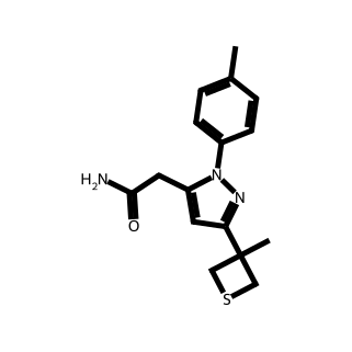 Cc1ccc(-n2nc(C3(C)CSC3)cc2CC(N)=O)cc1